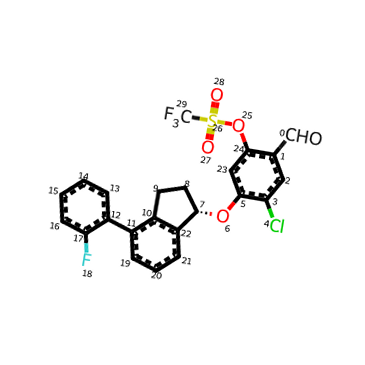 O=Cc1cc(Cl)c(O[C@H]2CCc3c(-c4ccccc4F)cccc32)cc1OS(=O)(=O)C(F)(F)F